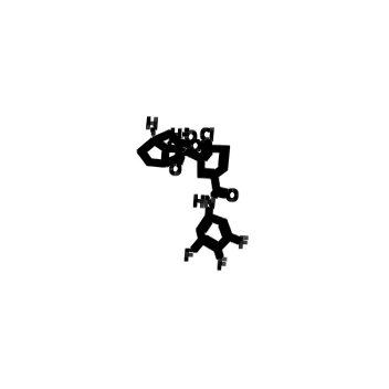 C[C@]1(O)CC2CC[C@@H](C1)[C@H]2S(=O)(=O)c1cc(C(=O)Nc2cc(F)c(F)c(F)c2)ccc1Cl